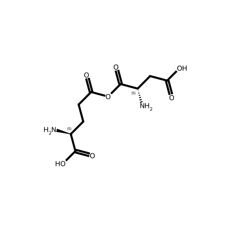 N[C@@H](CCC(=O)OC(=O)[C@@H](N)CC(=O)O)C(=O)O